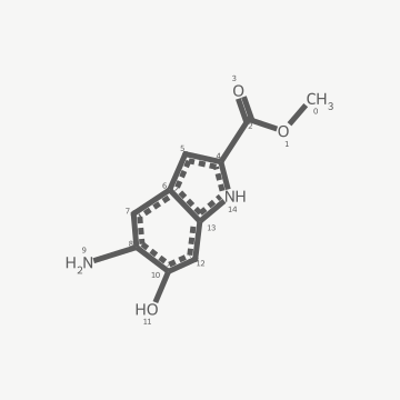 COC(=O)c1cc2cc(N)c(O)cc2[nH]1